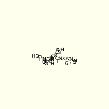 CC(C)c1ccccc1[C@@H]1CN(Cc2ccccn2)CCN1C1CC2(CCN(c3cc(Oc4cnc5[nH]ccc5c4)c(C(=O)NS(=O)(=O)c4ccc(NC[C@H]5CC[C@](C)(O)CC5)c([N+](=O)[O-])c4)cc3F)CC2)C1